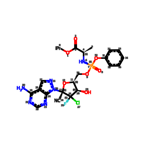 CC(C)OC(=O)[C@H](C)N[P@@](=O)(OC[C@H]1O[C@@](C#N)(n2ncc3c(N)ncnc32)[C@@](F)(Cl)[C@@H]1O)Oc1ccccc1